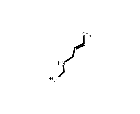 [CH2]CNC/C=C/C